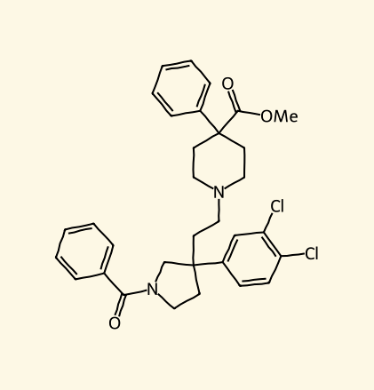 COC(=O)C1(c2ccccc2)CCN(CCC2(c3ccc(Cl)c(Cl)c3)CCN(C(=O)c3ccccc3)C2)CC1